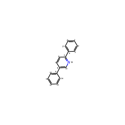 [c]1cccc(-c2ccc(-c3ccccc3)cn2)c1